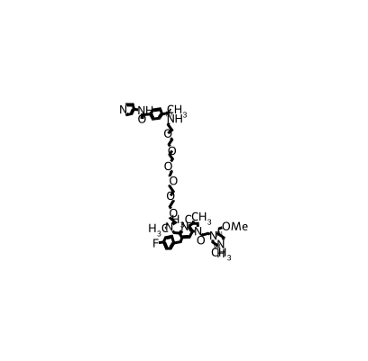 COC[C@H]1CN[C@H](C)CN1CC(=O)N1CC(C)(C)c2nc(CN(C)CCOCCOCCOCCOCCOCCOCCN[C@H](C)c3ccc(C(=O)Nc4ccncc4)cc3)c(Cc3ccc(F)cc3)cc21